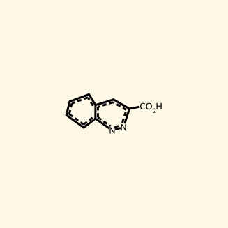 O=C(O)c1cc2ccccc2nn1